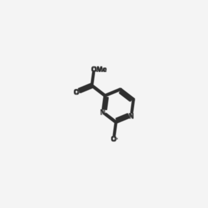 COC(=O)c1ccnc([O])n1